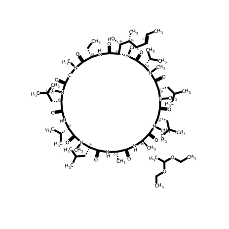 C/C=C/C[C@@H](C)[C@@H](O)[C@H]1C(=O)N[C@@H](CC)C(=O)N(C)CC(=O)N(C)[C@@H](CC(C)C)C(=O)N[C@@H](C(C)C)C(=O)N(C)[C@@H](CC(C)C)C(=O)N[C@@H](C)C(=O)N[C@H](C)C(=O)N(C)[C@@H](CC(C)C)C(=O)N(C)[C@@H](CC(C)C)C(=O)N(C)[C@@H](C(C)C)C(=O)N1C.CCOC(C)OCC